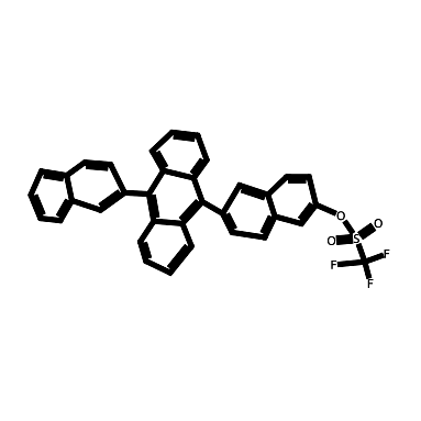 O=S(=O)(Oc1ccc2cc(-c3c4ccccc4c(-c4ccc5ccccc5c4)c4ccccc34)ccc2c1)C(F)(F)F